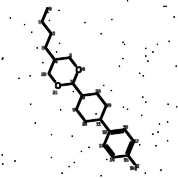 CCCCC1COC(C2CCC(c3ccc(F)cc3)CC2)OC1